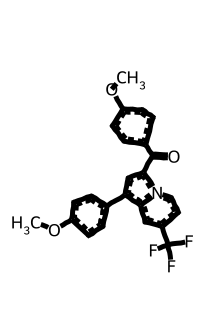 COc1ccc(C(=O)c2cc(-c3ccc(OC)cc3)c3cc(C(F)(F)F)ccn23)cc1